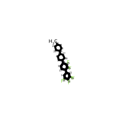 CC1CCC(C2CCC(c3ccc(-c4cc(F)c(F)c(F)c4)c(F)c3F)CC2)CC1